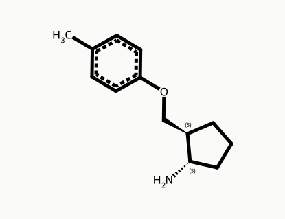 Cc1ccc(OC[C@H]2CCC[C@@H]2N)cc1